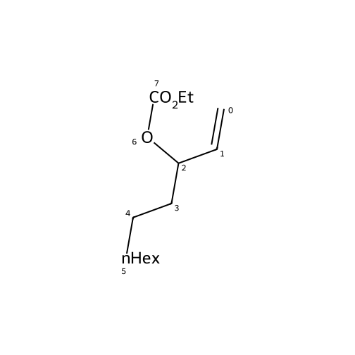 C=CC(CCCCCCCC)OC(=O)OCC